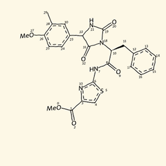 COC(=O)c1csc(NC(=O)[C@H](Cc2ccccc2)N2C(=O)NC(c3ccc(OC)c(C)c3)C2=O)n1